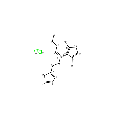 CCC[CH]=[Ti+2]([CH2]CC1=CC=CC1)[C]1=C(C)CC=C1C.[Cl-].[Cl-]